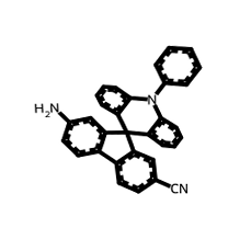 N#Cc1ccc2c(c1)C1(c3cc(N)ccc3-2)c2ccccc2N(c2ccccc2)c2ccccc21